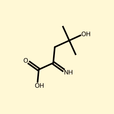 CC(C)(O)CC(=N)C(=O)O